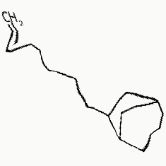 C=CCCCCC1CC2CCC1C2